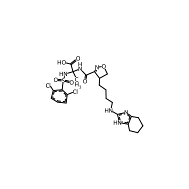 CC(NC(=O)C1=NOCC1CCCCNc1nc2c([nH]1)CCCC2)(NS(=O)(=O)c1c(Cl)cccc1Cl)C(=O)O